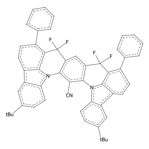 CC(C)(C)c1ccc2c(c1)c1ccc(-c3ccccc3)c3c1n2-c1c(cc2c(c1C#N)-n1c4ccc(C(C)(C)C)cc4c4ccc(-c5ccccc5)c(c41)C2(F)F)C3(F)F